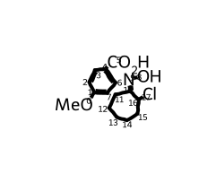 COc1ccc(C(=O)O)cc1.ON=C1CCCCCC1Cl